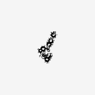 CN(C1CCc2ccc(C(=O)N3CCC4(CC3)CCN(c3ccncc3)CC4)cc21)S(=O)(=O)Cc1ccccc1C(F)(F)F